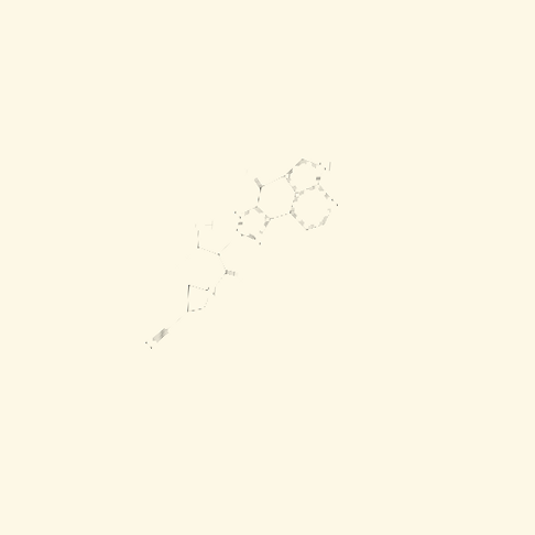 CC(C)C(C(=O)N1CC(C#N)C1)n1nc2c(n1)-c1ccnc3[nH]cc(c13)C2=O